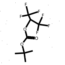 CC(C)(C)OC(=O)O[C](C(F)(F)F)C(F)(F)F